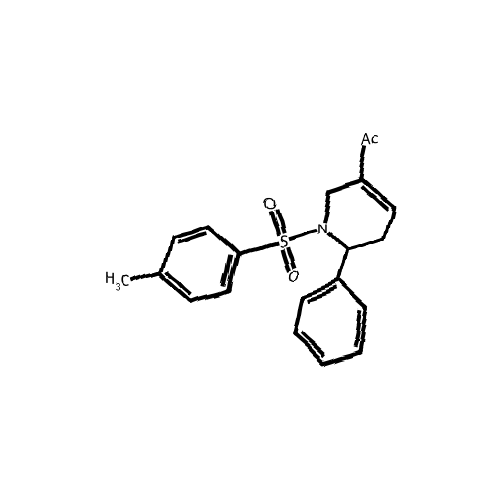 CC(=O)C1=CCC(c2ccccc2)N(S(=O)(=O)c2ccc(C)cc2)C1